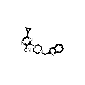 N#Cc1ncc(C2CC2)nc1N1CCN(Cc2nc3ccccc3s2)CC1